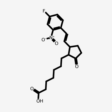 O=C(O)CCCCCCC1C(=O)CCC1C=Cc1ccc(F)cc1[N+](=O)[O-]